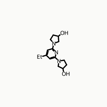 CCc1cc(N2CCC(O)C2)nc(N2CCC(O)C2)c1